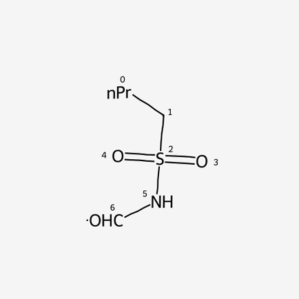 CCCCS(=O)(=O)N[C]=O